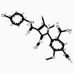 COc1cc(C2C(=C=O)C(C(=O)Nc3ccc(Cl)cc3)=C(C)N2C)c(C(=O)O)cc1C#N